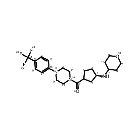 O=C(C1CCC(NC2CCOCC2)C1)N1CCN(c2ccc(C(F)(F)F)cc2)CC1